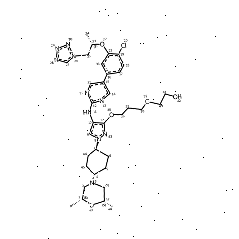 C[C@@H]1CN([C@H]2CC[C@H](n3cc(Nc4ncc(-c5ccc(Cl)c(O[C@@H](C)Cn6cnnn6)c5)cn4)c(OCCCOCCO)n3)CC2)C[C@H](C)O1